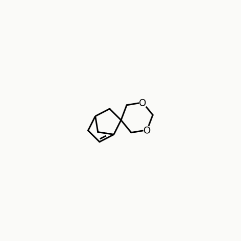 C1=C2CC(C1)CC21COCOC1